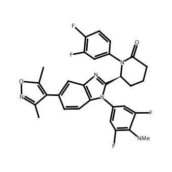 CNc1c(F)cc(-n2c([C@@H]3CCCC(=O)N3c3ccc(F)c(F)c3)nc3cc(-c4c(C)noc4C)ccc32)cc1F